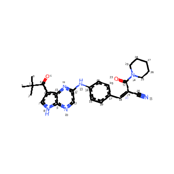 CC(C)(C)C(=O)c1c[nH]c2ncc(Nc3ccc(/C=C(/C#N)C(=O)N4CCCCC4)cc3)nc12